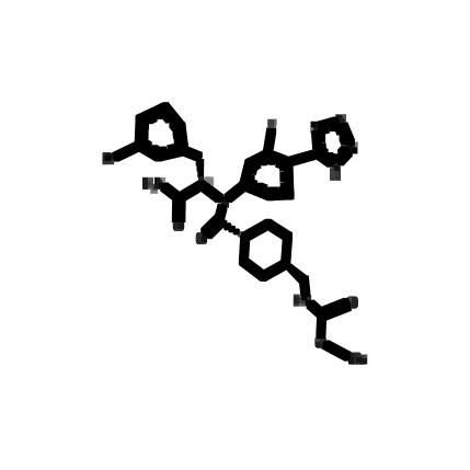 CC(C)(C)OC(=O)NC[C@H]1CC[C@H](C(=O)N(c2ccc(-c3nnn[nH]3)c(F)c2)[C@@H](Cc2cccc(Br)c2)C(N)=O)CC1